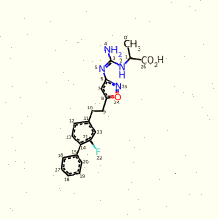 CC(NC(N)=Nc1cc(CCc2ccc(-c3ccccc3)c(F)c2)on1)C(=O)O